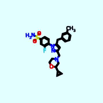 Cc1cccc(Cc2cc(CN3CCOC(C4CC4)C3)nn2-c2ccc(S(N)(=O)=O)cc2F)c1